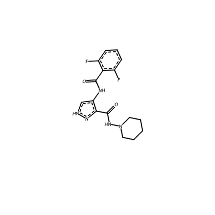 O=C(NN1CCCCC1)c1n[nH]cc1NC(=O)c1c(F)cccc1F